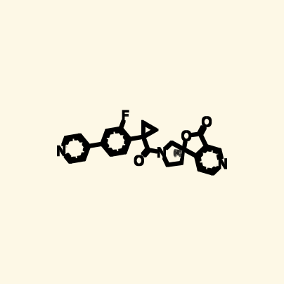 O=C1O[C@]2(CCN(C(=O)C3(c4ccc(-c5ccncc5)cc4F)CC3)C2)c2ccncc21